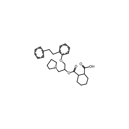 O=C(O)C1CCCCC1C(=O)OC(COc1ccccc1CCc1ccccc1)CN1CCCC1